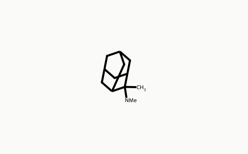 CNC1(C)C2CC3CC(C2)CC1C3